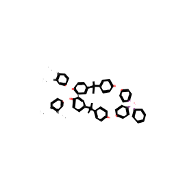 CC(C)(c1ccc(Oc2ccc(P(=O)(c3ccccc3)c3ccc(Oc4ccc(C(C)(C)c5ccc(Oc6ccc(C#N)c(C#N)c6)cc5)cc4)cc3)cc2)cc1)c1ccc(Oc2ccc(C#N)c(C#N)c2)cc1